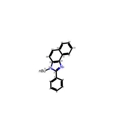 CCCCn1c(-c2ccccc2)nc2c3ccccc3ccc21